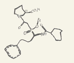 CCOP(=O)(CC(=O)N1CCC[C@H]1C(=O)O)C(CCc1ccccc1)NC(=O)C1CCCC1